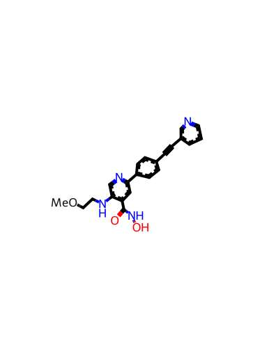 COCCNc1cnc(-c2ccc(C#Cc3cccnc3)cc2)cc1C(=O)NO